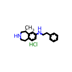 C[C@H]1CNCCc2ccc(NCCc3ccccc3)cc21.Cl